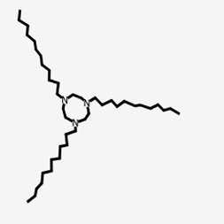 CCCCCCCCCCCCN1CCN(CCCCCCCCCCCC)CCN(CCCCCCCCCCCC)CC1